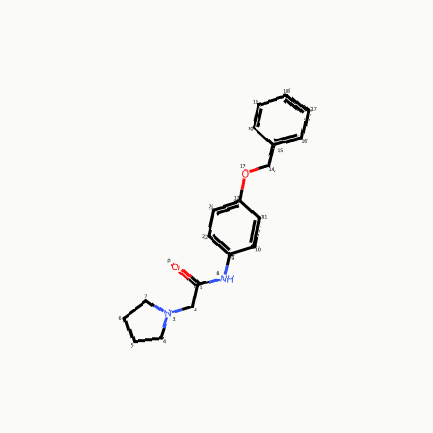 O=C(CN1CCCC1)Nc1ccc(OCc2ccccc2)cc1